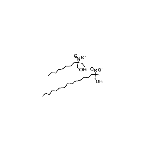 CCCCCCCCC(CC)(CO)[N+](=O)[O-].CCCCCCCCCCCCCCC(C)(CO)[N+](=O)[O-]